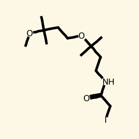 COC(C)(C)CCOC(C)(C)CCNC(=O)CI